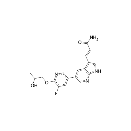 CC(O)COc1ncc(-c2cnc3[nH]cc(C=CC(N)=O)c3c2)cc1F